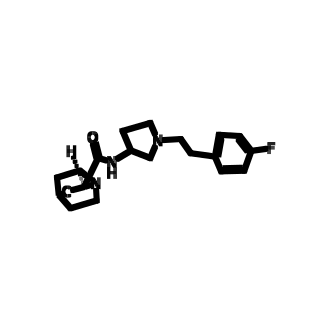 O=C(NC1CCN(CCc2ccc(F)cc2)C1)[C@@H]1CC2CCN1CC2